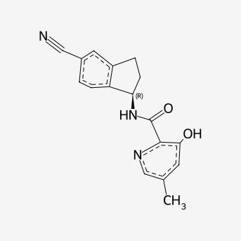 Cc1cnc(C(=O)N[C@@H]2CCc3cc(C#N)ccc32)c(O)c1